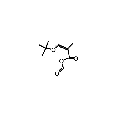 CC(=COC(C)(C)C)C(=O)OC=O